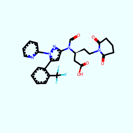 O=CN(c1cc(-c2ccccc2C(F)(F)F)n(-c2ccccn2)n1)[C@@H](CCN1C(=O)CCCC1=O)CC(=O)O